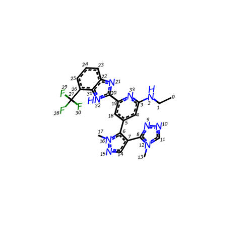 CCNc1cc(-c2c(-c3nncn3C)cnn2C)cc(-c2nc3cccc(C(F)(F)F)c3[nH]2)n1